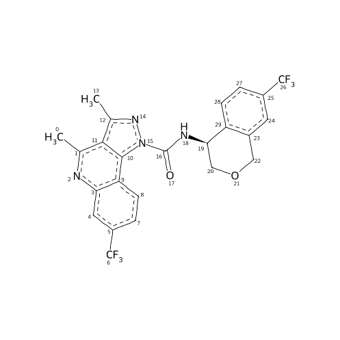 Cc1nc2cc(C(F)(F)F)ccc2c2c1c(C)nn2C(=O)N[C@@H]1COCc2cc(C(F)(F)F)ccc21